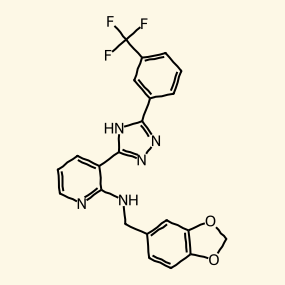 FC(F)(F)c1cccc(-c2nnc(-c3cccnc3NCc3ccc4c(c3)OCO4)[nH]2)c1